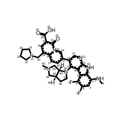 CNc1cc(F)c(F)c2c1[nH]c1ncc(-c3ccc4c(CN5CCCC5)cc(C(=O)O)c(=O)n4c3)c(N3CC[C@@H]4CN(C)C[C@@H]43)c12